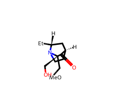 CC[C@@H]1C[C@H]2CCN1[C@@](CO)(COC)C2=O